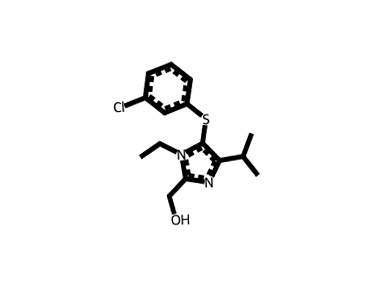 CCn1c(CO)nc(C(C)C)c1Sc1cccc(Cl)c1